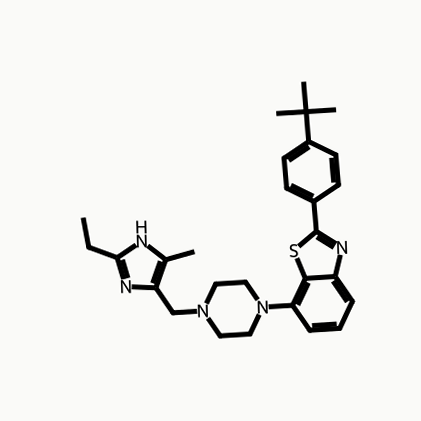 CCc1nc(CN2CCN(c3cccc4nc(-c5ccc(C(C)(C)C)cc5)sc34)CC2)c(C)[nH]1